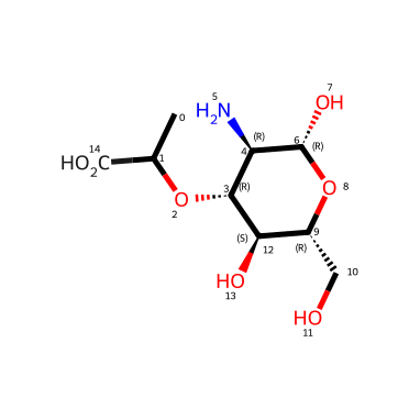 CC(O[C@@H]1[C@@H](N)[C@H](O)O[C@H](CO)[C@H]1O)C(=O)O